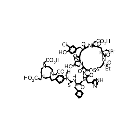 CCC(=O)[C@@H]1CSSC[C@H](NC(=O)[C@@H](CC(=O)[C@H](Cc2ccccc2)NC(=S)Nc2ccc(CC3CN(CC(=O)O)CCN(CC(=O)O)CCN3CC(=O)O)cc2)Cc2c[nH]cn2)C(=O)N2C[C@H](O)C[C@H]2C(=O)C[C@@H](Cc2ccc(O)c(Cl)c2)C(=O)N[C@@H](CC(=O)O)C(=O)C[C@@H](CC(C)C)C(=O)N1